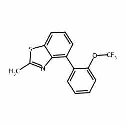 Cc1nc2c(-c3ccccc3OC(F)(F)F)cccc2s1